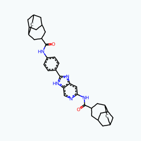 O=C(Nc1ccc(-c2nc3cc(NC(=O)C4CC5CC6CC(C5)C(C6)C4)ncc3[nH]2)cc1)C1CC2CC3CC(C2)C(C3)C1